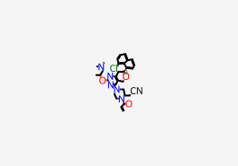 C=CC(=O)N1CCN(c2nc(OC(C)CN(C)C)nc3c2CO[C@H](c2cccc4cccc(Cl)c24)C3)CC1CC#N